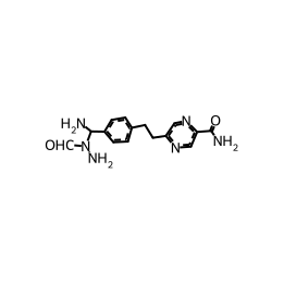 NC(=O)c1cnc(CCc2ccc(C(N)N(N)C=O)cc2)cn1